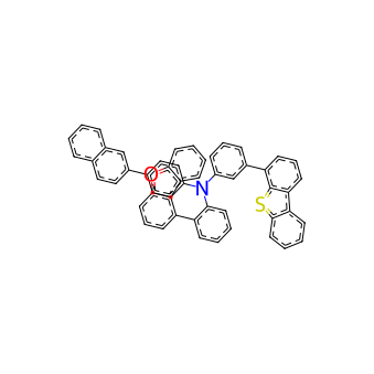 c1cc(-c2cccc3c2sc2ccccc23)cc(N(c2ccc(-c3ccc4ccccc4c3)cc2)c2ccccc2-c2cccc3oc4ccccc4c23)c1